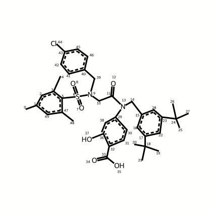 Cc1cc(C)c(S(=O)(=O)N(CC(=O)N(Cc2cc(C(C)(C)C)cc(C(C)(C)C)c2)c2ccc(C(=O)O)c(O)c2)Cc2ccc(Cl)cc2)c(C)c1